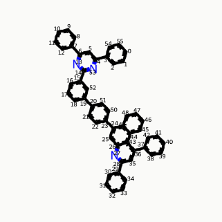 c1ccc(-c2cc(-c3ccccc3)nc(-c3cccc(-c4ccc(-c5cc6nc(-c7ccccc7)cc(-c7ccccc7)c6c6ccccc56)cc4)c3)n2)cc1